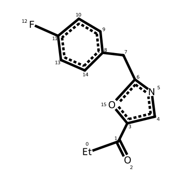 CCC(=O)c1cnc(Cc2ccc(F)cc2)o1